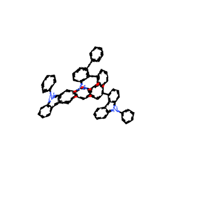 c1ccc(-c2ccccc2-c2c(-c3ccccc3)cccc2N(c2ccc(-c3cccc4c3c3ccccc3n4-c3ccccc3)cc2)c2ccc3c4ccccc4n(-c4ccccc4)c3c2)cc1